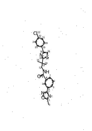 Cc1nc(-c2cccc(C(=O)NCC(C)(C)c3nc(-c4ccc(Cl)cc4)cs3)c2)no1